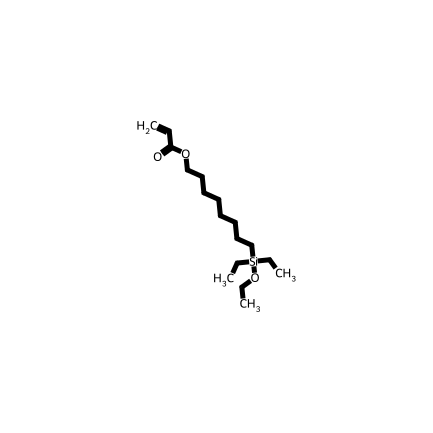 C=CC(=O)OCCCCCCCC[Si](CC)(CC)OCC